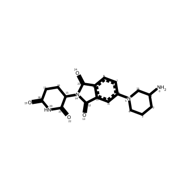 NC1CCCN(c2ccc3c(c2)C(=O)N(C2CCC(=O)NC2=O)C3=O)C1